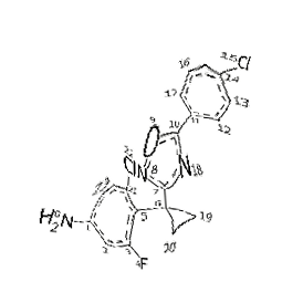 Nc1cc(F)c(C2(c3noc(-c4ccc(Cl)cc4)n3)CC2)c(Cl)c1